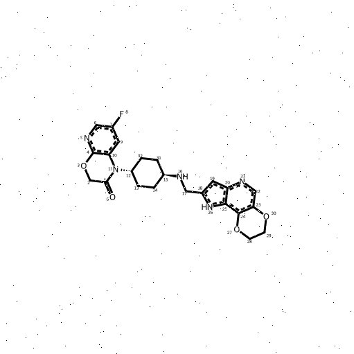 O=C1COc2ncc(F)cc2N1[C@H]1CC[C@H](NCc2cc3ncc4c(c3[nH]2)OCCO4)CC1